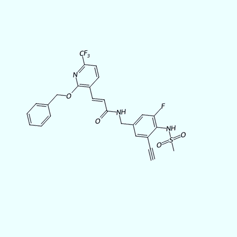 C#Cc1cc(CNC(=O)C=Cc2ccc(C(F)(F)F)nc2OCc2ccccc2)cc(F)c1NS(C)(=O)=O